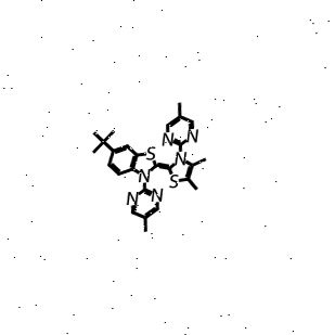 CC1=C(C)N(c2ncc(C)cn2)/C(=C2\Sc3cc(C(C)(C)C)ccc3N2c2ncc(C)cn2)S1